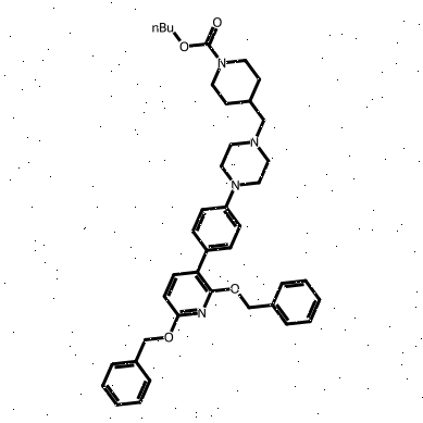 CCCCOC(=O)N1CCC(CN2CCN(c3ccc(-c4ccc(OCc5ccccc5)nc4OCc4ccccc4)cc3)CC2)CC1